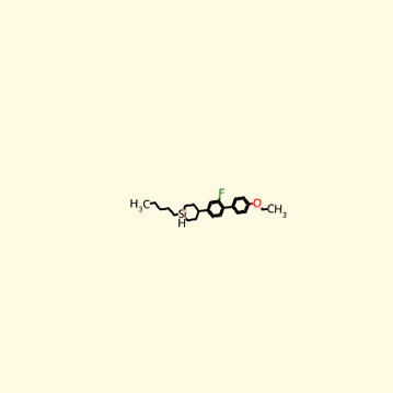 CCCCC[SiH]1CCC(c2ccc(-c3ccc(OCC)cc3)c(F)c2)CC1